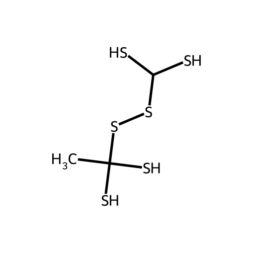 CC(S)(S)SSC(S)S